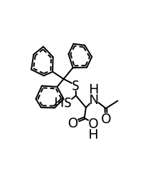 CC(=O)NC(C(=O)O)C(S)SC(c1ccccc1)(c1ccccc1)c1ccccc1